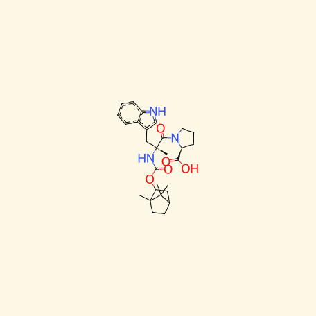 CC1(C)C2CCC1(C)C(OC(=O)N[C@](C)(Cc1c[nH]c3ccccc13)C(=O)N1CCC[C@H]1C(=O)O)C2